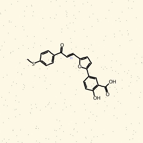 CSc1ccc(C(=O)/C=C/c2ccc(-c3ccc(O)c(C(=O)O)c3)o2)cc1